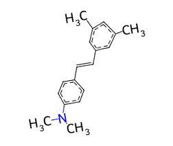 Cc1cc(C)cc(/C=C/c2ccc(N(C)C)cc2)c1